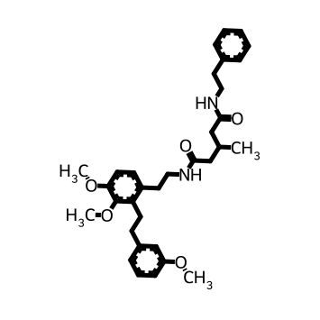 COc1cccc(CCc2c(CCNC(=O)CC(C)CC(=O)NCCc3ccccc3)ccc(OC)c2OC)c1